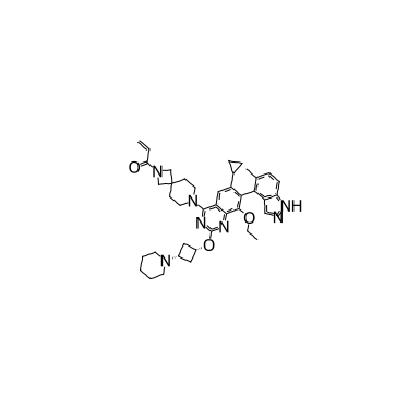 C=CC(=O)N1CC2(CCN(c3nc(O[C@H]4C[C@@H](N5CCCCC5)C4)nc4c(OCC)c(-c5c(C)ccc6[nH]ncc56)c(C5CC5)cc34)CC2)C1